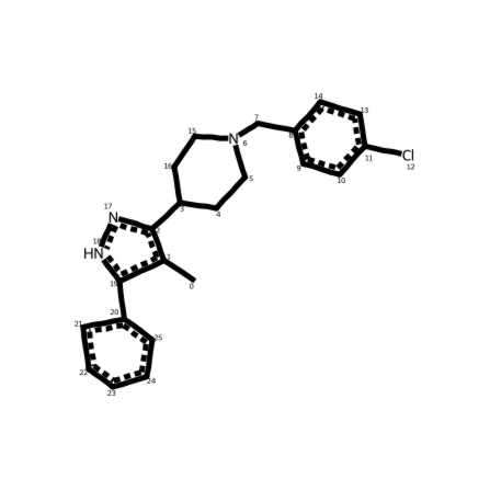 Cc1c(C2CCN(Cc3ccc(Cl)cc3)CC2)n[nH]c1-c1ccccc1